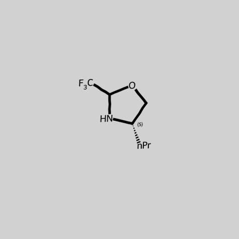 CCC[C@H]1COC(C(F)(F)F)N1